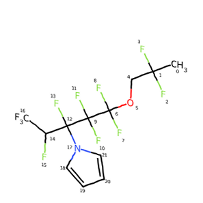 CC(F)(F)COC(F)(F)C(F)(F)C(F)(C(F)C(F)(F)F)n1cccc1